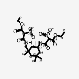 CCOC(=O)C(C(=O)NCC1(C)CC(NC(=O)C(C(=O)OCC)[N+](=O)[O-])CC(C)(C)C1)[N+](=O)[O-]